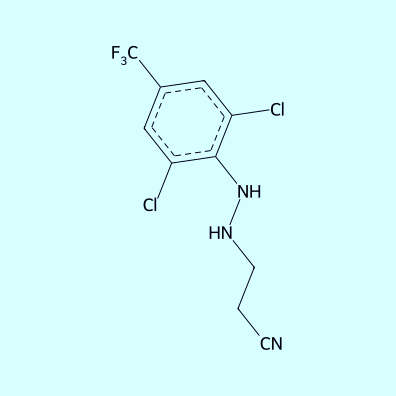 N#CCCNNc1c(Cl)cc(C(F)(F)F)cc1Cl